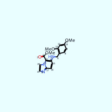 COC(=O)c1c(NCc2ccc(OC)cc2OC)ccc2nccn12